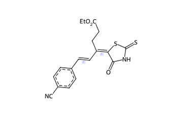 CCOC(=O)CCC(/C=C/c1ccc(C#N)cc1)=C1\SC(=S)NC1=O